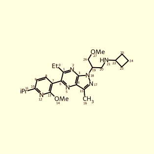 CCc1nc2c(nc1-c1ccc(C(C)C)nc1OC)c(C)nn2C(CNC1CCC1)COC